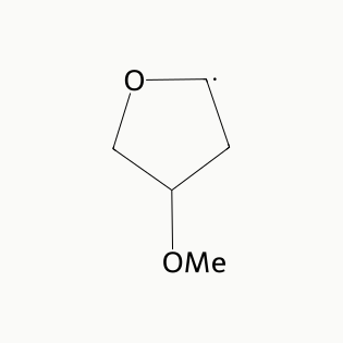 COC1C[CH]OC1